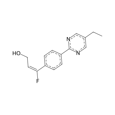 CCc1cnc(-c2ccc(/C(F)=C\CO)cc2)nc1